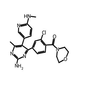 CNc1ccc(-c2c(C)nc(N)nc2-c2ccc(C(=O)N3CCOCC3)c(Cl)c2)cn1